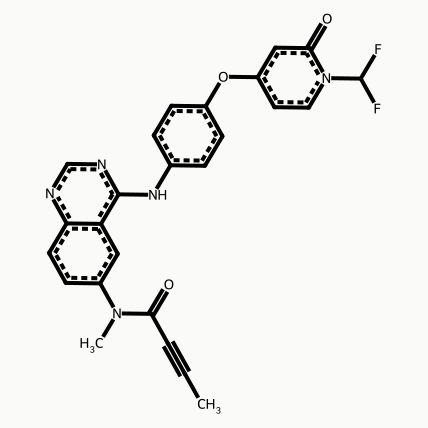 CC#CC(=O)N(C)c1ccc2ncnc(Nc3ccc(Oc4ccn(C(F)F)c(=O)c4)cc3)c2c1